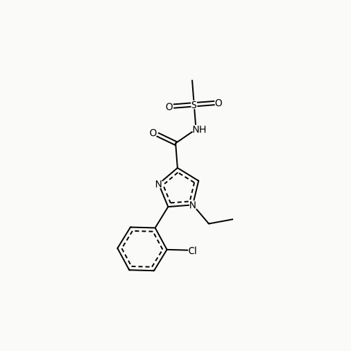 CCn1cc(C(=O)NS(C)(=O)=O)nc1-c1ccccc1Cl